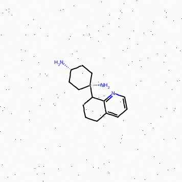 N[C@H]1CC[C@](N)(C2CCCc3cccnc32)CC1